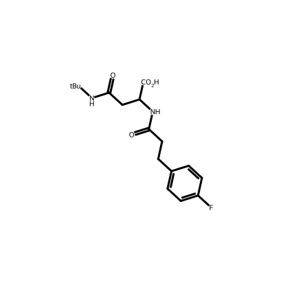 CC(C)(C)NC(=O)CC(NC(=O)CCc1ccc(F)cc1)C(=O)O